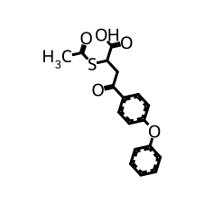 CC(=O)SC(CC(=O)c1ccc(Oc2ccccc2)cc1)C(=O)O